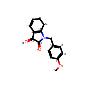 COc1ccc(CN2C(=O)C(=O)C3=C2CCC=C3)cc1